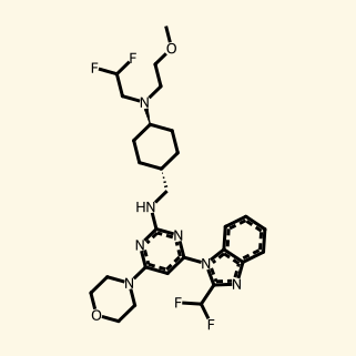 COCCN(CC(F)F)[C@H]1CC[C@H](CNc2nc(N3CCOCC3)cc(-n3c(C(F)F)nc4ccccc43)n2)CC1